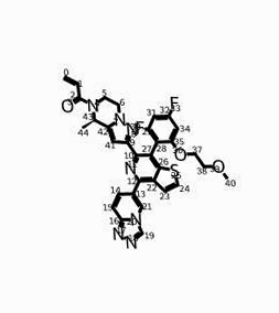 C=CC(=O)N1CCn2nc(-c3nc(-c4ccc5nncn5c4)c4ccsc4c3-c3c(F)cc(F)cc3OCCOC)cc2[C@H]1C